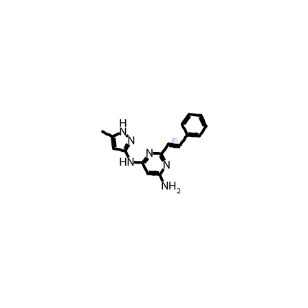 Cc1cc(Nc2cc(N)nc(/C=C/c3ccccc3)n2)n[nH]1